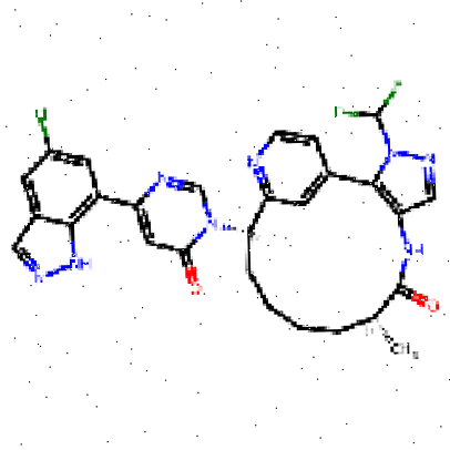 C[C@@H]1CCCC[C@H](n2cnc(-c3cc(Cl)cc4cn[nH]c34)cc2=O)c2cc(ccn2)-c2c(cnn2C(F)F)NC1=O